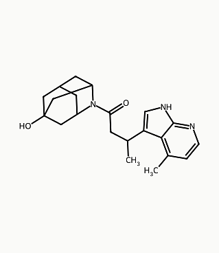 Cc1ccnc2[nH]cc(C(C)CC(=O)N3C4CC5CC3CC(O)(C5)C4)c12